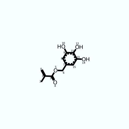 C=C(C)C(=O)OCc1cc(O)c(O)c(O)c1